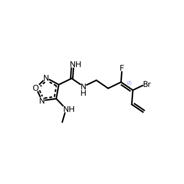 C=C/C(Br)=C(/F)CCNC(=N)c1nonc1NC